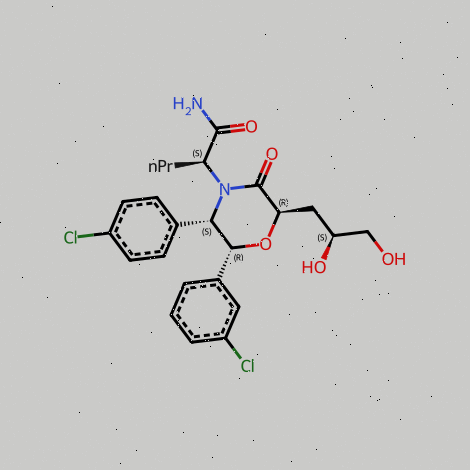 CCC[C@@H](C(N)=O)N1C(=O)[C@@H](C[C@H](O)CO)O[C@H](c2cccc(Cl)c2)[C@@H]1c1ccc(Cl)cc1